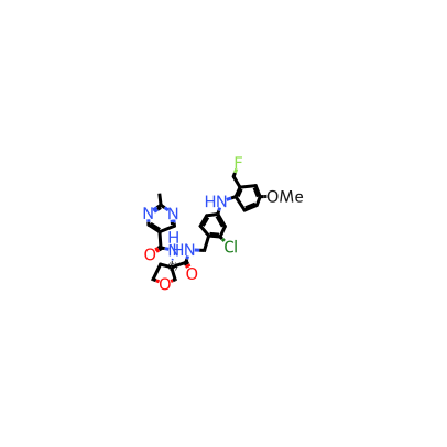 COc1ccc(Nc2ccc(CNC(=O)[C@]3(NC(=O)c4cnc(C)nc4)CCOC3)c(Cl)c2)c(CF)c1